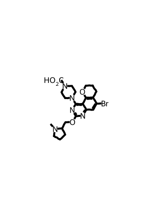 CN1CCCC1COc1nc(N2CCN(C(=O)O)CC2)c2c3c(c(Br)cc2n1)CCCO3